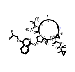 C[C@H]1CC/C=C\[C@@H]2C[C@@]2(C(=O)NS(=O)(=O)C2(C)CC2)NC(=O)[C@@H]2C[C@@H](Oc3ncc(OCC(F)F)c4ccccc34)CN2C(=O)[C@@H](N(C(=O)O)[C@H](C)C(F)(F)F)[C@H](C)C1